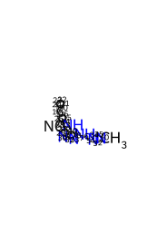 CN1CCN(CCCNc2cc3c(Nc4ccc(Cc5ccccc5)cc4)c(C#N)cnc3cn2)CC1